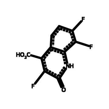 O=C(O)c1c(F)c(=O)[nH]c2c(F)c(F)ccc12